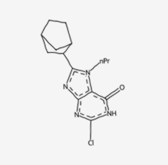 CCCn1c(C2CC3CCC2C3)nc2nc(Cl)[nH]c(=O)c21